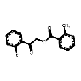 Cc1ccccc1C(=O)OCC(=O)c1ccccc1Cl